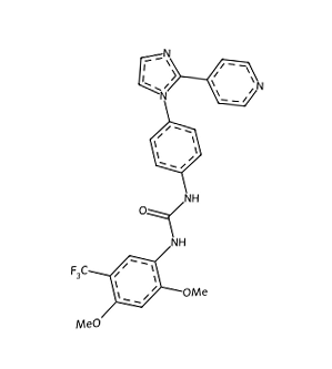 COc1cc(OC)c(C(F)(F)F)cc1NC(=O)Nc1ccc(-n2ccnc2-c2ccncc2)cc1